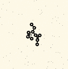 c1ccc(-c2ccc(-n3c4ccccc4c4cc(-c5cc(-c6cccc(-c7ccccc7)c6)cc(-c6cccc7c6oc6c(-c8ccccc8)cccc67)c5)ccc43)cc2)cc1